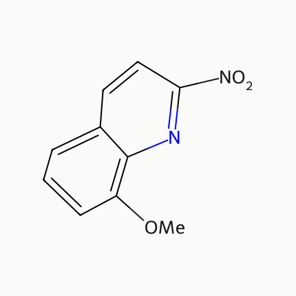 COc1cccc2ccc([N+](=O)[O-])nc12